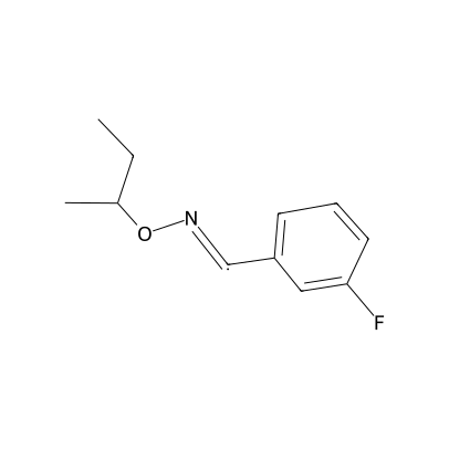 CCC(C)O/N=[C]/c1cccc(F)c1